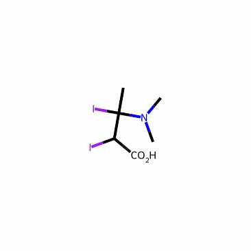 CN(C)C(C)(I)C(I)C(=O)O